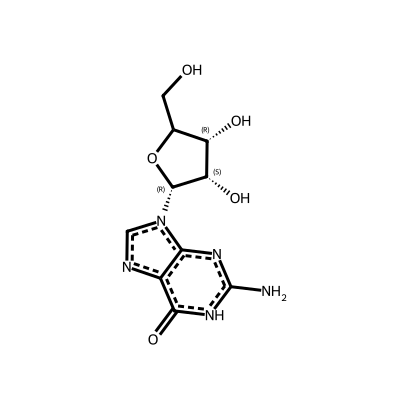 Nc1nc2c(ncn2[C@@H]2OC(CO)[C@H](O)[C@@H]2O)c(=O)[nH]1